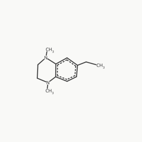 CCc1ccc2c(c1)N(C)CCN2C